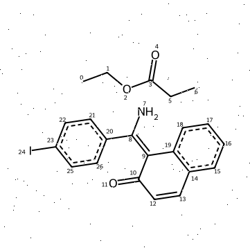 CCOC(=O)CC.NC(=C1C(=O)C=Cc2ccccc21)c1ccc(I)cc1